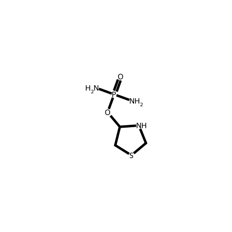 NP(N)(=O)OC1CSCN1